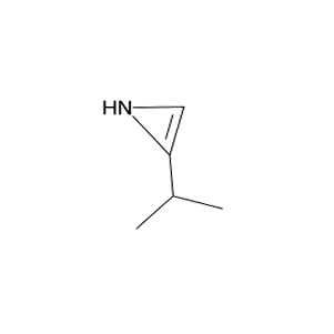 CC(C)C1=CN1